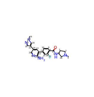 CN1CC[C@H](NC(=O)c2ccc(-c3cc(-c4cnn(C)c4)cnc3N)cc2F)C1